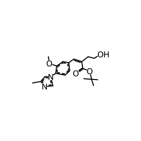 COc1cc(C=C(CCO)C(=O)OC(C)(C)C)ccc1-n1cnc(C)c1